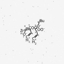 C=CC(=O)[O-].C=CC(=O)[O-].CCC(C)[O-].CCC(C)[O-].[Zr+4]